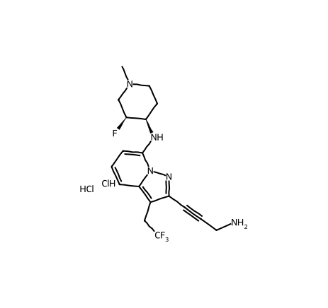 CN1CC[C@@H](Nc2cccc3c(CC(F)(F)F)c(C#CCN)nn23)[C@@H](F)C1.Cl.Cl